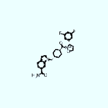 NC(=O)c1ccc2ccn(C[C@H]3CC[C@H](C(=O)N4OCC[C@H]4c4cc(F)cc(F)c4)CC3)c2c1